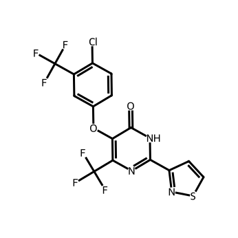 O=c1[nH]c(-c2ccsn2)nc(C(F)(F)F)c1Oc1ccc(Cl)c(C(F)(F)F)c1